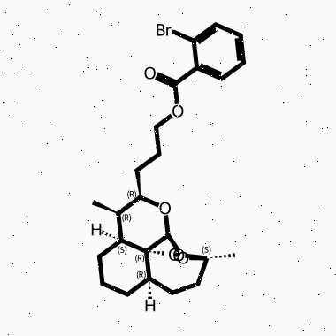 C[C@H]1[C@@H](CCCOC(=O)c2ccccc2Br)OC2O[C@]3(C)CC[C@H]4CCC[C@@H]1[C@@]24OO3